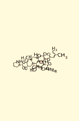 COC(=O)[C@@]12OC[C@]34C([C@@H](O)[C@@H]1O)[C@@]1(C)CC(=O)C(OC(=O)[C@@H]5CCCN5)=C(C)[C@@H]1C[C@H]3OC(=O)[C@H](OC(=O)C=C(C)C)[C@@H]24